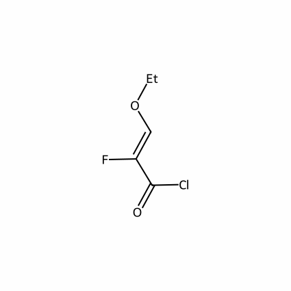 CCO/C=C(\F)C(=O)Cl